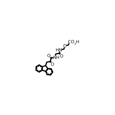 O=C(O)COCNC(=O)CNC(=O)C(=O)CC1c2ccccc2-c2ccccc21